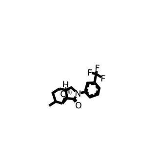 CC1CC2CCC1C1C(=O)N(c3cccc(C(F)(F)F)c3)C[C@H]21